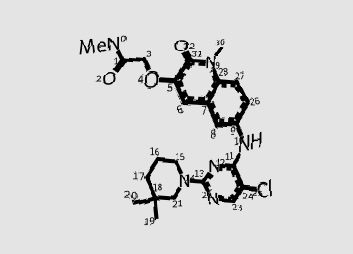 CNC(=O)COc1cc2cc(Nc3nc(N4CCCC(C)(C)C4)ncc3Cl)ccc2n(C)c1=O